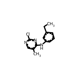 CCc1cccc(Nc2nc(Cl)ncc2C)c1